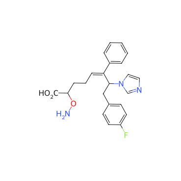 NOC(CC/C=C(/c1ccccc1)C(Cc1ccc(F)cc1)n1ccnc1)C(=O)O